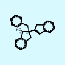 O[C@H]1c2ccccc2C[C@@]1(Cc1ccccc1)C1=Cc2ccccc2C1